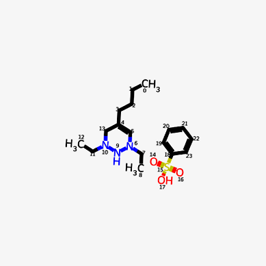 CCCCC1=CN(CC)NN(CC)C1.O=S(=O)(O)c1ccccc1